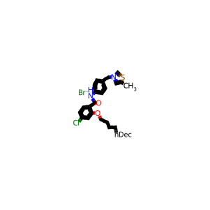 CCCCCCCCCCCCCCOc1cc(Cl)ccc1C(=O)Nc1ccc(C[n+]2csc(C)c2)cc1.[Br-]